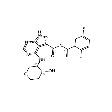 C[C@@H](NC(=O)c1n[nH]c2ncnc(N[C@@H]3COCC[C@H]3O)c12)C1CC(F)=CC=C1F